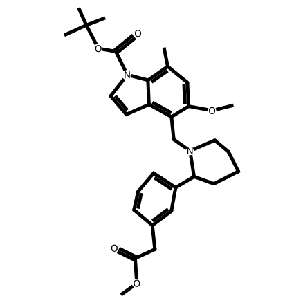 COC(=O)Cc1cccc(C2CCCCN2Cc2c(OC)cc(C)c3c2ccn3C(=O)OC(C)(C)C)c1